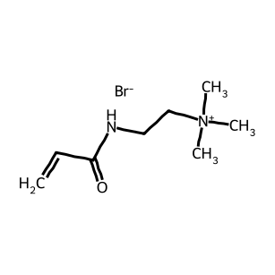 C=CC(=O)NCC[N+](C)(C)C.[Br-]